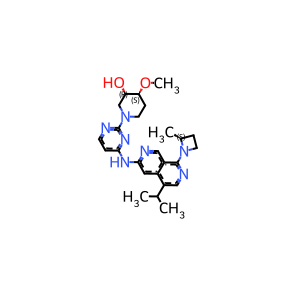 CO[C@H]1CCN(c2nccc(Nc3cc4c(C(C)C)cnc(N5CC[C@@H]5C)c4cn3)n2)C[C@H]1O